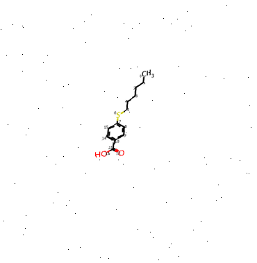 CCCCCCSc1ccc(C(=O)O)cc1